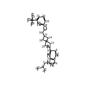 FC(F)Cn1ncc2ncc(N3CC4(CC(COc5cccc(C(F)(F)F)n5)C4)C3)nc21